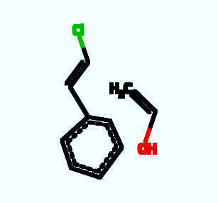 C=CO.ClC=Cc1ccccc1